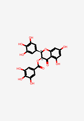 O=C(O[C@@H]1C(=O)c2c(O)cc(O)cc2O[C@@H]1c1cc(O)c(O)c(O)c1)c1cc(O)c(O)c(O)c1